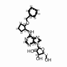 OC[C@H]1OC(n2cnc3c(NC4CCCC4OCc4ccccc4)ncnc32)[C@H](O)[C@@H]1O